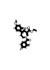 CCOC(=O)C1=CN(C(=O)c2ccc(F)cc2F)CCc2c1[nH]c1cc(OC)ccc21